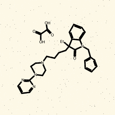 CCC1(CCCCN2CCN(c3ncccn3)CC2)C(=O)N(Cc2ccccc2)c2ccccc21.O=C(O)C(=O)O